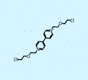 ClCCOCC[n+]1ccc(-c2cc[n+](CCOCCCl)cc2)cc1